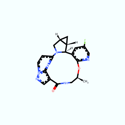 C[C@H]1CNC(=O)c2cnn3ccc(nc23)N2C[C@@H]3C[C@@H]3[C@H]2c2cc(F)cnc2O1